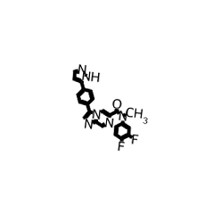 CN(C(=O)c1cn2c(-c3ccc(-c4ccn[nH]4)cc3)cnc2cn1)c1ccc(F)c(F)c1